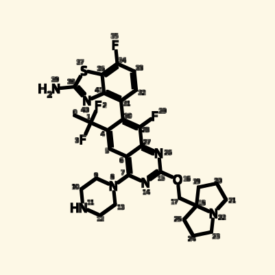 CC(F)(F)c1cc2c(N3CCNCC3)nc(OCC34CCCN3CCC4)nc2c(F)c1-c1ccc(F)c2sc(N)nc12